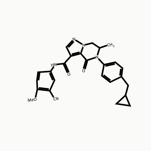 COc1ccc(NC(=O)c2cnn3c2C(=O)N(c2ccc(CC4CC4)cc2)C(C)C3)cc1C#N